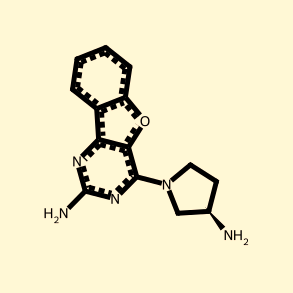 Nc1nc(N2CC[C@@H](N)C2)c2oc3ccccc3c2n1